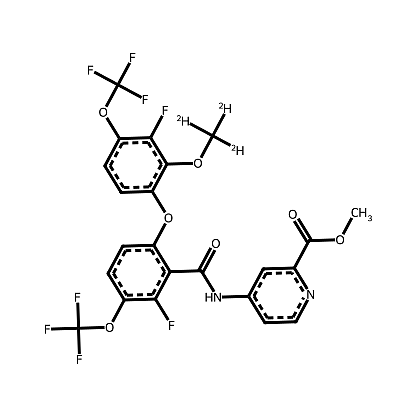 [2H]C([2H])([2H])Oc1c(Oc2ccc(OC(F)(F)F)c(F)c2C(=O)Nc2ccnc(C(=O)OC)c2)ccc(OC(F)(F)F)c1F